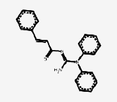 NC(=NC(=O)C=Cc1ccccc1)N(c1ccccc1)c1ccccc1